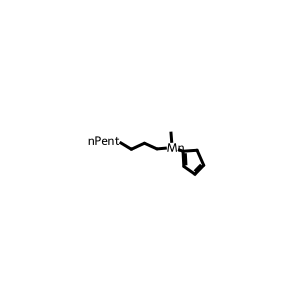 CCCCCCC[CH2][Mn]([CH3])[C]1=CC=CC1